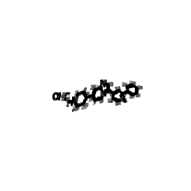 O=CCN1CCC(c2ccn3c(-c4ccnc(-c5ccccc5)c4)cnc3c2)CC1